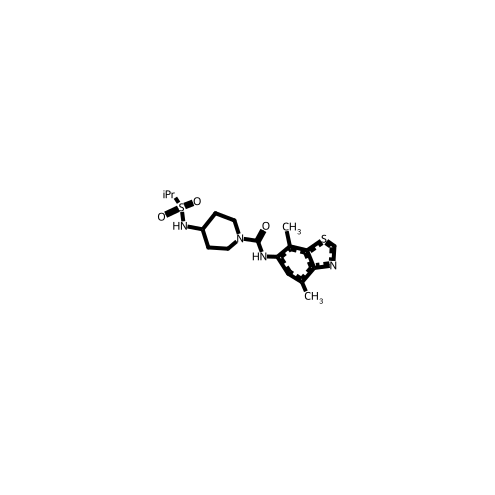 Cc1cc(NC(=O)N2CCC(NS(=O)(=O)C(C)C)CC2)c(C)c2scnc12